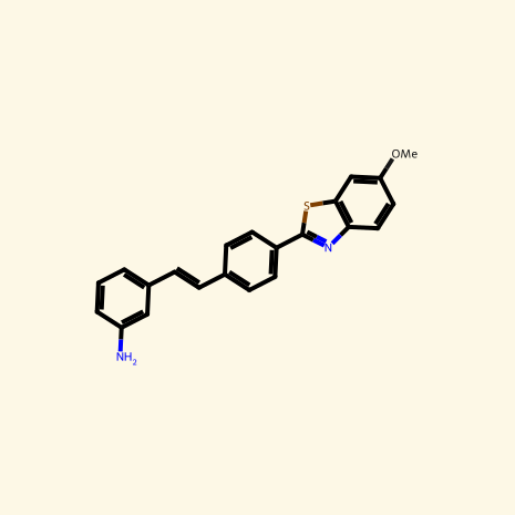 COc1ccc2nc(-c3ccc(C=Cc4cccc(N)c4)cc3)sc2c1